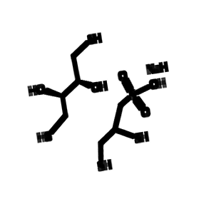 O=S(=O)(O)CC(S)CS.O[C@H](CS)[C@H](O)CS.[NaH]